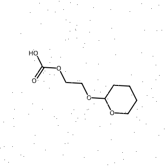 O=C(O)OCCOC1CCCCO1